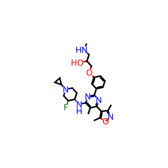 CNCC(O)COc1cccc(-c2nc(N[C@@H]3CCN(C4CC4)C[C@@H]3F)c(C)c(-c3c(C)noc3C)n2)c1